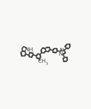 Cc1cc(-c2ccc(-c3cccc4c3NCCC4)cc2)cc(-c2ccc3ccc(-c4ccc(-c5nc(-c6ccccc6)cc(-c6ccccc6)n5)cc4)cc3c2)c1